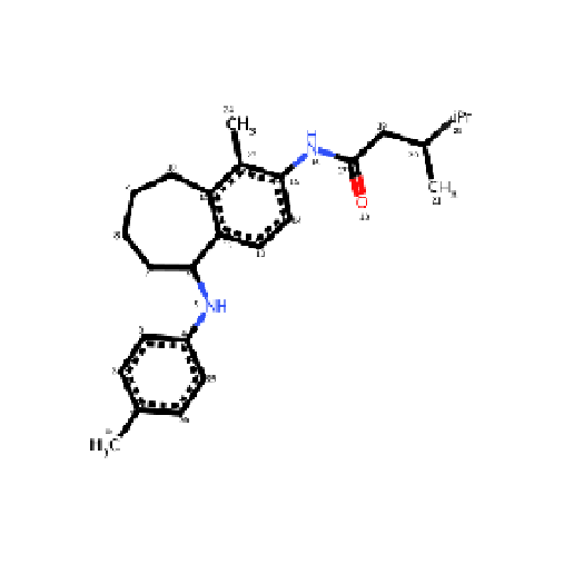 Cc1ccc(NC2CCCCc3c2ccc(NC(=O)CC(C)C(C)C)c3C)cc1